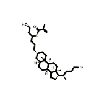 C=C(C)C(=O)OC(CCO)CCC[C@H]1CC[C@@]2(C)[C@@H](CC[C@@H]3[C@@H]2CC[C@]2(C)[C@@H]([C@H](C)CCCC(C)C)CC[C@@H]32)C1